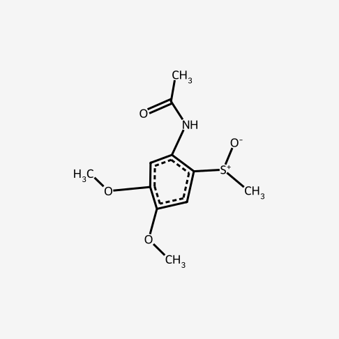 COc1cc(NC(C)=O)c([S+](C)[O-])cc1OC